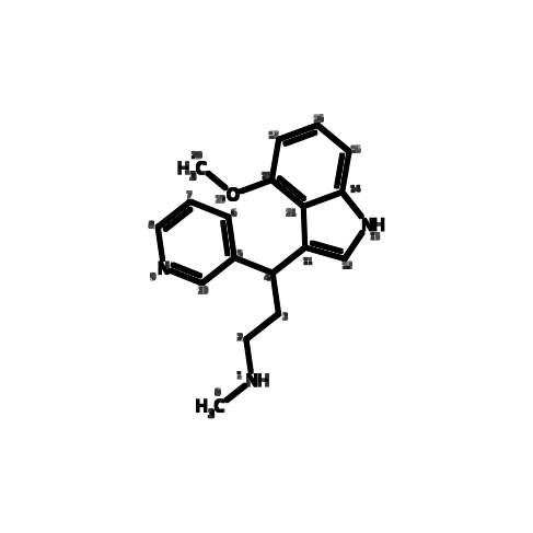 CNCCC(c1cccnc1)c1c[nH]c2cccc(OC)c12